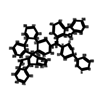 c1ccc(-c2ccc(N(c3ccc4c(c3)-c3ccccc3-c3ccccc3C43c4ccccc4-c4c3ccc3ccccc43)c3cccc4c3oc3ccccc34)cc2)cc1